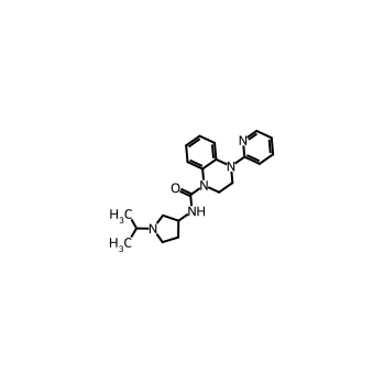 CC(C)N1CCC(NC(=O)N2CCN(c3ccccn3)c3ccccc32)C1